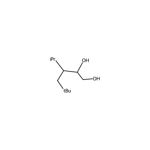 CC(C)C(CC(C)(C)C)C(O)CO